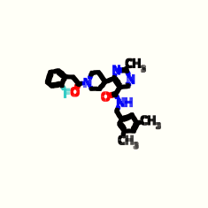 Cc1cc(C)cc(CNC(=O)c2cnc(C)nc2C2CCN(C(=O)Cc3ccccc3F)CC2)c1